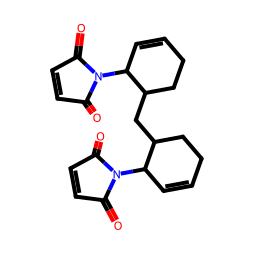 O=C1C=CC(=O)N1C1C=CCCC1CC1CCC=CC1N1C(=O)C=CC1=O